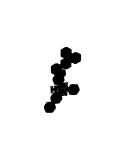 c1ccc(C2=NC(c3ccc4c(c3)oc3c(-c5ccc6c7ccccc7c7ccccc7c6c5)cccc34)NC(c3ccc(-c4ccccc4)cc3)=N2)cc1